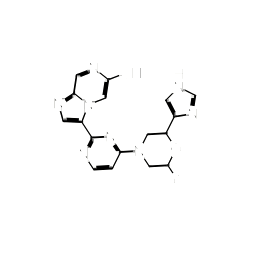 Cc1cn2c(-c3nccc(N4CC(C)OC(c5c[nH]cn5)C4)n3)cnc2cn1